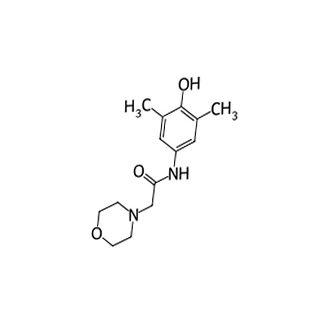 Cc1cc(NC(=O)CN2CCOCC2)cc(C)c1O